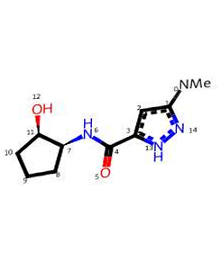 CNc1cc(C(=O)N[C@H]2CCC[C@H]2O)[nH]n1